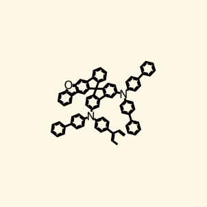 C=C/C(=C\C)c1ccc(N(c2ccc(-c3ccccc3)cc2)c2ccc3c(c2)-c2cc(N(c4ccc(-c5ccccc5)cc4)c4ccc(-c5ccccc5)cc4)ccc2C32c3ccccc3-c3cc4oc5ccccc5c4cc32)cc1